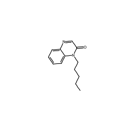 CCCCCn1c(=O)cnc2ccccc21